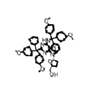 COc1ccc(C(Nc2nc(C(c3ccccc3)(c3ccc(OC)cc3)c3ccc(OC)cc3)nc3c2ncn3[C@@H]2CC[C@@H](CO)O2)(c2ccccc2)c2ccc(OC)cc2)cc1